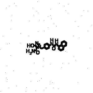 NC(=O)c1c(O)ncn1Cc1ccc(NC(=O)Nc2cccc3ccccc23)cc1